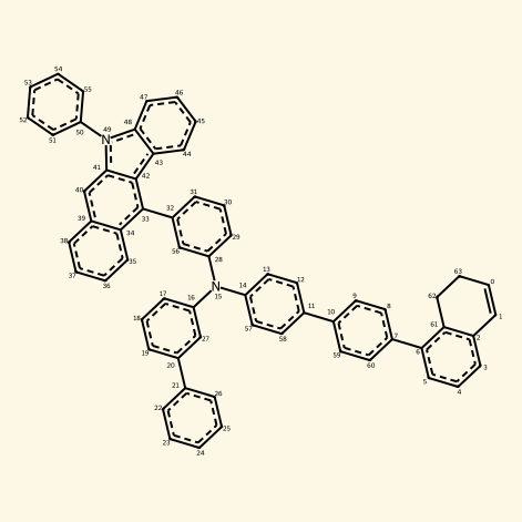 C1=Cc2cccc(-c3ccc(-c4ccc(N(c5cccc(-c6ccccc6)c5)c5cccc(-c6c7ccccc7cc7c6c6ccccc6n7-c6ccccc6)c5)cc4)cc3)c2CC1